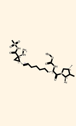 CC(=O)[C@@H]1C(C)[C@@H](C)CN1C(=O)[C@H](CCCCC/C=C/[C@@H]1C[C@]1(NP)C(=O)NS(C)(=O)=O)NC(=O)OC(C)(C)C